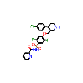 O=C(NS(=O)(=O)c1cc(F)c(OCC2CNCCC2c2ccc(Cl)cc2)cc1F)c1ccccn1